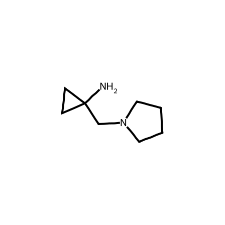 NC1(CN2CCCC2)CC1